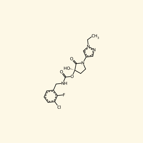 CCn1cc(N2CC[C@@](O)(OC(=O)NCc3cccc(Cl)c3F)C2=O)cn1